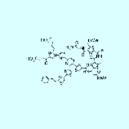 CNC(=O)C[C@H](NC(=O)c1csc(-c2ccc(-c3nc(-n4cc(C(=O)CCC(=O)O)nc4CCCC(=O)O)cs3)nc2-c2csc(-c3csc(CCc4ccccc4)n3)n2)n1)c1nc(C(=O)NC(c2nc(C(=O)NCC(N)=O)c(COC)s2)C(C)C)c(C)s1